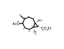 CCOC(=O)[C@H]1[C@@H]2CCC(I)C(OC(C)=O)CC[C@@H]21